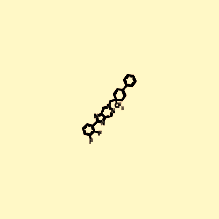 Fc1cccc(-c2nc3cnn(CC4(C(F)(F)F)C=CC(c5ccccc5)=CC4)cc-3n2)c1F